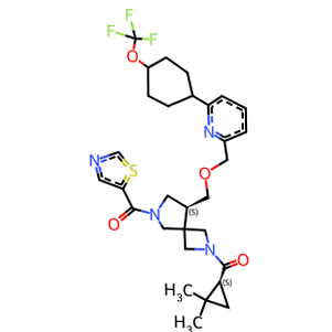 CC1(C)C[C@@H]1C(=O)N1CC2(CN(C(=O)c3cncs3)C[C@H]2COCc2cccc(C3CCC(OC(F)(F)F)CC3)n2)C1